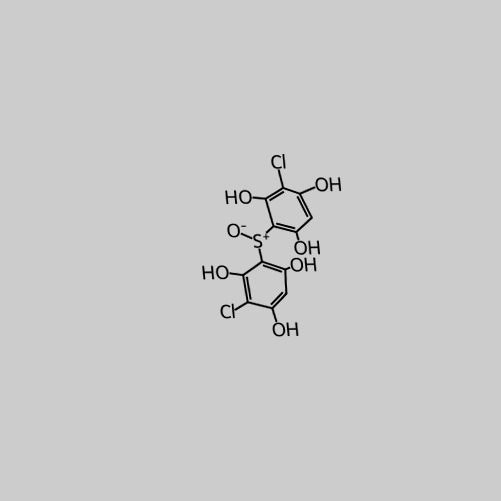 [O-][S+](c1c(O)cc(O)c(Cl)c1O)c1c(O)cc(O)c(Cl)c1O